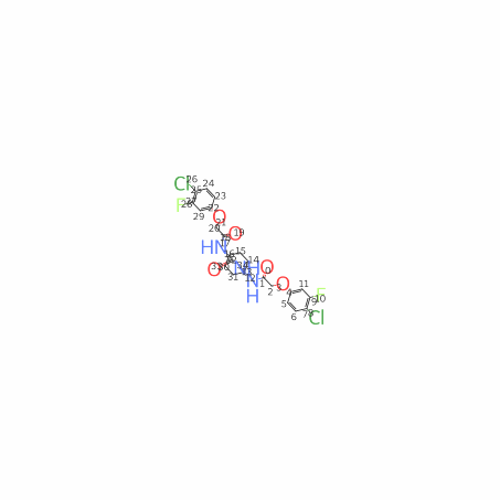 O=C(COc1ccc(Cl)c(F)c1)NC12CCC(NC(=O)COc3ccc(Cl)c(F)c3)(CC1)C(=O)N2